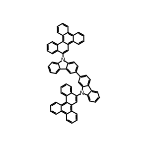 c1ccc2c(c1)c(-n1c3ccccc3c3cc(-c4ccc5c6ccccc6n(-c6cc7c8ccccc8c8ccccc8c7c7ccccc67)c5c4)ccc31)cc1c3ccccc3c3ccccc3c21